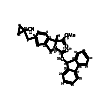 COC(=O)C1(C)c2ccc(CC3(C#N)CC3)cc2CN1C(=O)OC1c2ccccc2-c2ccccc21